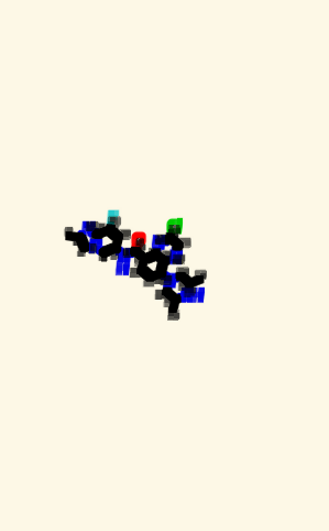 Cc1cn2cc(NC(=O)c3ccc(N4CC(C)NC(C)C4)c4ncc(Cl)nc34)cc(F)c2n1